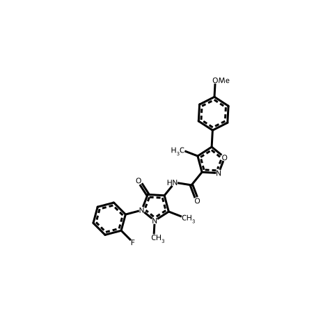 COc1ccc(-c2onc(C(=O)Nc3c(C)n(C)n(-c4ccccc4F)c3=O)c2C)cc1